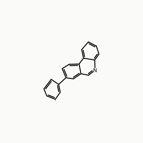 [c]1cccc(-c2ccc3c(cnc4ccccc43)c2)c1